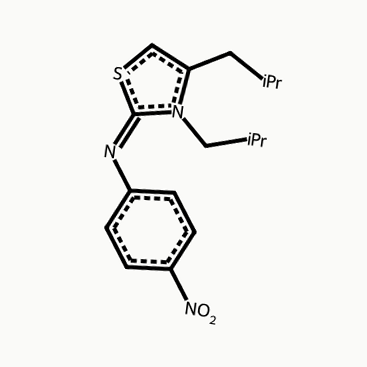 CC(C)Cc1csc(=Nc2ccc([N+](=O)[O-])cc2)n1CC(C)C